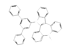 CC(=O)N1c2ccccc2-c2c(n(-c3cc(-c4ccccc4)cc(-c4ccccc4)c3)c3ccccc23)-c2ccccc21